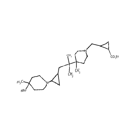 CCOC(=O)C1CC1CN1CCC(C)(C(C)(C)CC2CC2N2CCC(C)(C(C)(C)C)CC2)CC1